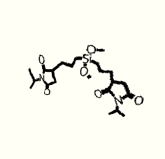 CO[Si](CCCC1CC(=O)N(C(C)C)C1=O)(CCCC1CC(=O)N(C(C)C)C1=O)OC